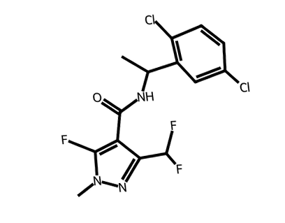 CC(NC(=O)c1c(C(F)F)nn(C)c1F)c1cc(Cl)ccc1Cl